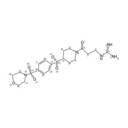 N=C(N)NCCC(=O)N1CCC(S(=O)(=O)c2ccc(S(=O)(=O)N3CCOCC3)cc2)CC1